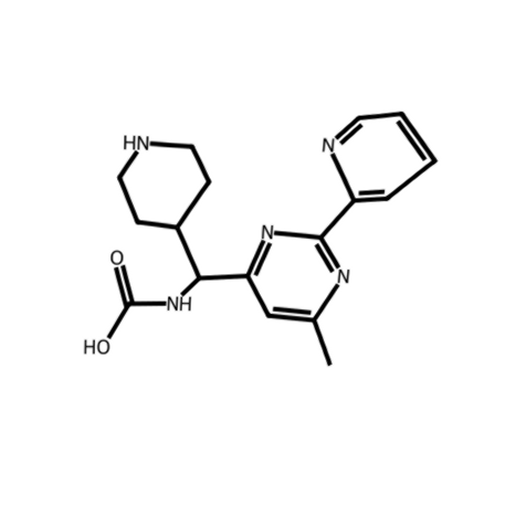 Cc1cc(C(NC(=O)O)C2CCNCC2)nc(-c2ccccn2)n1